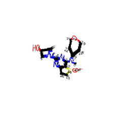 CN(c1nc(N2CC(O)C2)nc2c1[S@@+]([O-])CC2)C1CCOCC1